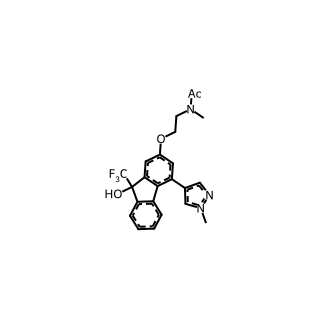 CC(=O)N(C)CCOc1cc(-c2cnn(C)c2)c2c(c1)C(O)(C(F)(F)F)c1ccccc1-2